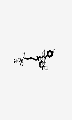 CC(C)(CCCNC(=O)O)CN(NC(=O)c1ccc(F)cc1)c1ccnc(Cl)n1